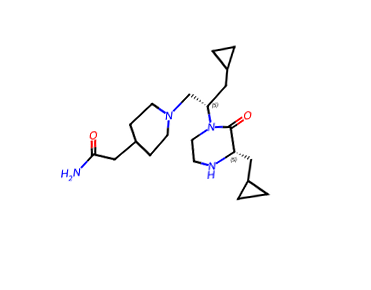 NC(=O)CC1CCN(C[C@H](CC2CC2)N2CCN[C@@H](CC3CC3)C2=O)CC1